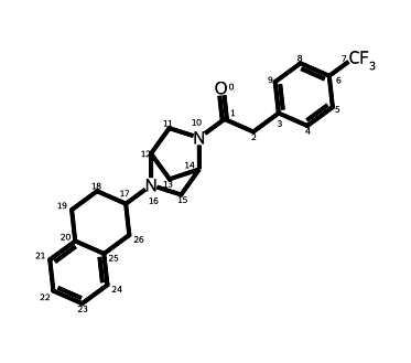 O=C(Cc1ccc(C(F)(F)F)cc1)N1CC2CC1CN2C1CCc2ccccc2C1